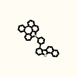 c1cc(-c2cccc3oc4c5ccccc5ccc4c23)cc(-n2c3cccc4c3c3c5c(cccc5ccc32)-c2ccccc2-4)c1